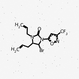 C=CCC1C(Br)N(c2cc(C(F)(F)F)no2)C(=O)N1CC=C